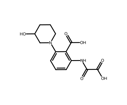 O=C(O)C(=O)Nc1cccc(N2CCCC(O)C2)c1C(=O)O